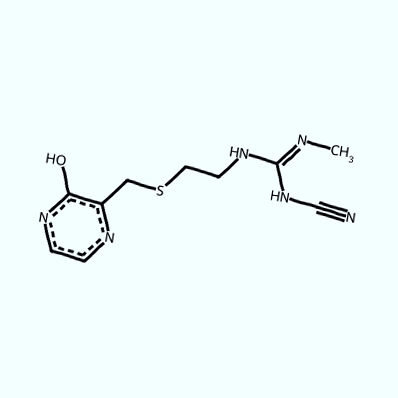 C/N=C(\NC#N)NCCSCc1nccnc1O